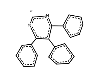 [Ir].c1ccc(-c2ncnc(-c3ccccc3)c2-c2ccccc2)cc1